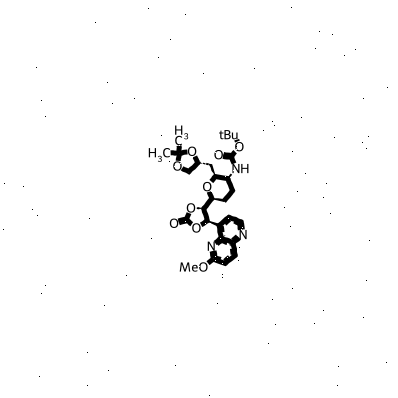 COc1ccc2nccc([C@H]3OC(=O)O[C@@H]3[C@@H]3CC[C@@H](NC(=O)OC(C)(C)C)[C@H](C[C@@H]4COC(C)(C)O4)O3)c2n1